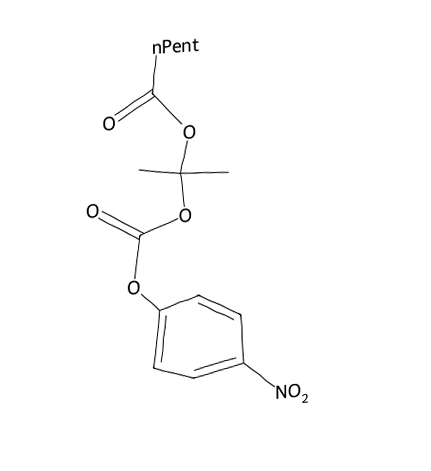 CCCCCC(=O)OC(C)(C)OC(=O)Oc1ccc([N+](=O)[O-])cc1